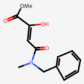 COC(=O)/C(O)=C/C(=O)N(C)Cc1ccccc1